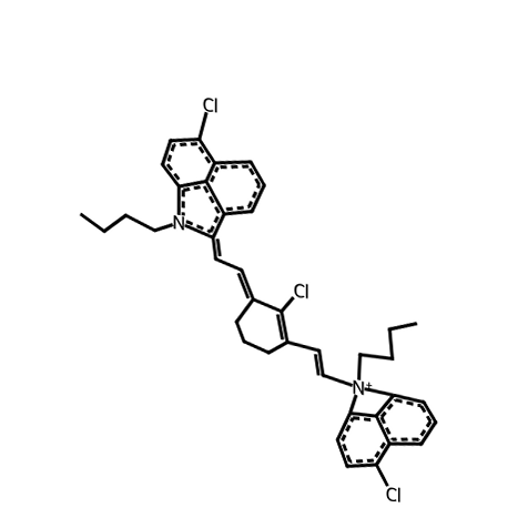 CCCCn1/c(=C/C=C2\CCCC(/C=C/[N+]3(CCCC)c4cccc5c(Cl)ccc3c45)=C2Cl)c2cccc3c(Cl)ccc1c32